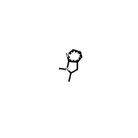 CC1Cc2cccnc2N1C